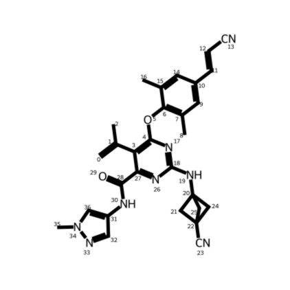 C=C(C)c1c(Oc2c(C)cc(/C=C/C#N)cc2C)nc(NC23CC(C#N)(C2)C3)nc1C(=O)Nc1cnn(C)c1